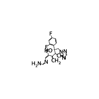 C=C(/C(F)=C\N=C/N)[C@H](C)[C@](O)(Cn1cncn1)c1ccc(F)cc1F